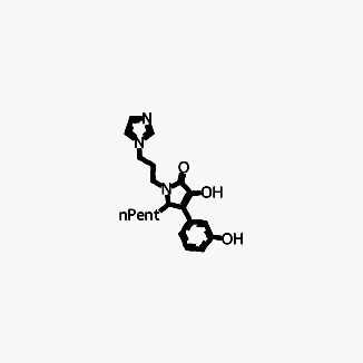 CCCCCC1C(c2cccc(O)c2)=C(O)C(=O)N1CCCn1ccnc1